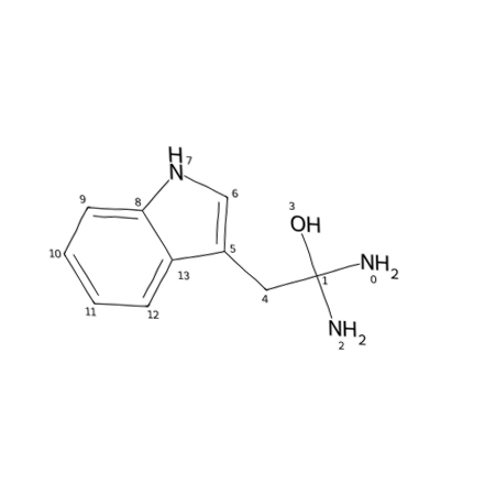 NC(N)(O)Cc1c[nH]c2ccccc12